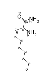 CCCCCC/C=C\C(N)C(N)=O